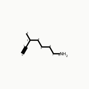 C#CC(C)CCCCN